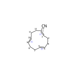 N#C/C1=C\CC/C=C/CC/C=C/CC1